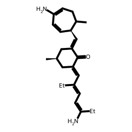 CC\C(N)=C/C=C(/C=C1\C[C@@H](C)C/C(=C\[C@H]2C=CC(N)=CCC2C)C1=O)CC